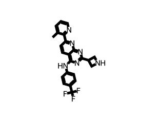 Cc1cccnc1-c1ccc2c(Nc3ccc(C(F)(F)F)cc3)nc(C3CNC3)nc2n1